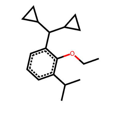 CCOc1c(C(C)C)cccc1C(C1CC1)C1CC1